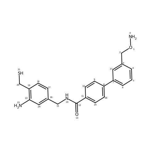 NOCc1cccc(-c2ccc(C(=O)NCc3ccc(CS)c(N)c3)cc2)c1